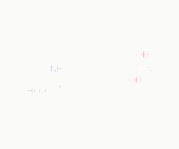 N[C@H](CCCCCCP(=O)(O)O)C(=O)O